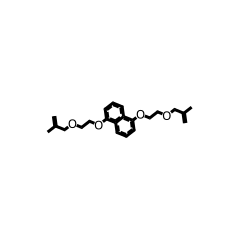 C=C(C)COCCOc1cccc2c(OCCOCC(=C)C)cccc12